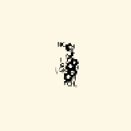 CC1(I)CC[C@H]2[C@H](CCC3[C@@H]2C(S(C)(=O)=O)C[C@]2(C)[C@@H](C(=O)Cn4cc(C#N)cn4)CC[C@@H]32)C1